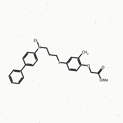 CCN(CCCSc1ccc(OCC(=O)OC)c(C)c1)c1ccc(-c2ccccc2)cc1